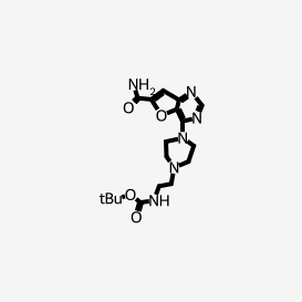 CC(C)(C)OC(=O)NCCN1CCN(c2ncnc3cc(C(N)=O)oc23)CC1